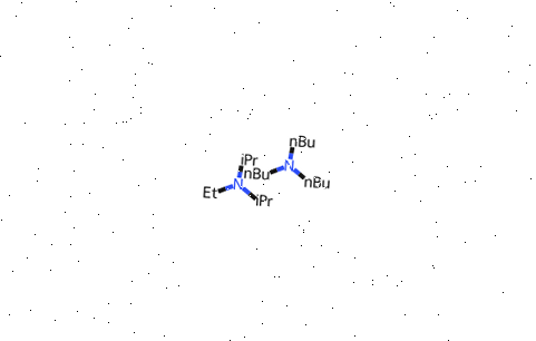 CCCCN(CCCC)CCCC.CCN(C(C)C)C(C)C